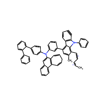 C/C=C\C=C/c1c(C)cc(-c2cccc(N(c3ccc(-c4ccccc4-c4ccccc4)cc3)c3cc4ccccc4c4c3C=CCC=C4)c2)c2c3ccc#cc3n(-c3ccccc3)c12